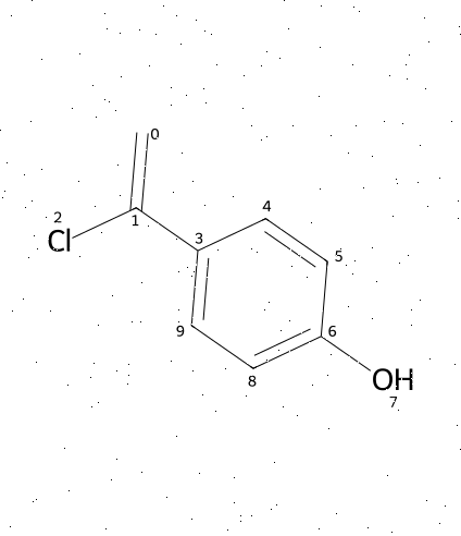 C=C(Cl)c1ccc(O)cc1